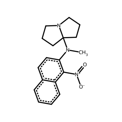 CN(c1ccc2ccccc2c1[N+](=O)[O-])C12CCCN1CCC2